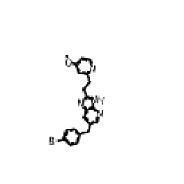 COc1ccnc(CCc2nc3cc(Cc4ccc(Br)cc4)cnc3[nH]2)c1